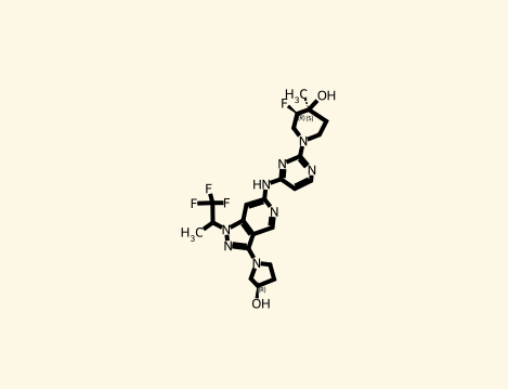 CC(n1nc(N2CC[C@@H](O)C2)c2cnc(Nc3ccnc(N4CC[C@](C)(O)[C@H](F)C4)n3)cc21)C(F)(F)F